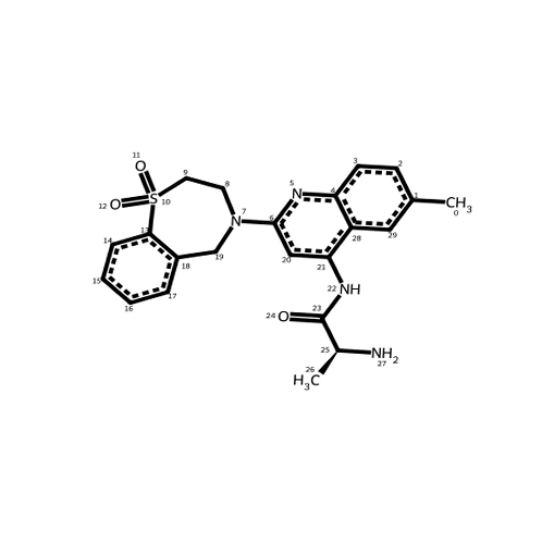 Cc1ccc2nc(N3CCS(=O)(=O)c4ccccc4C3)cc(NC(=O)[C@H](C)N)c2c1